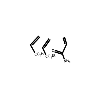 C=CC(=O)O.C=CC(=O)OCC.C=CC(N)=O